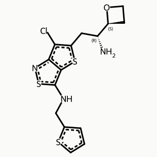 N[C@H](Cc1sc2c(NCc3cccs3)snc2c1Cl)[C@@H]1CCO1